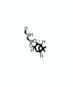 CC1(C)[C@@H]2C[C@H]3OB(CNC=O)O[C@@]3(C)[C@H]1C2